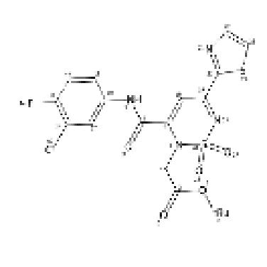 CC(C)(C)OC(=O)CN1C(C(=O)Nc2ccc(F)c(Cl)c2)=CC(c2nccs2)=NS1(=O)=O